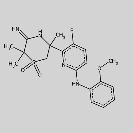 COc1ccccc1Nc1ccc(F)c(C2(C)CS(=O)(=O)C(C)(C)C(=N)N2)n1